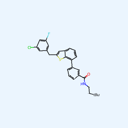 CC(C)(C)[CH]CNC(=O)c1cccc(-c2cccc3cc(Cc4cc(F)cc(Cl)c4)sc23)c1